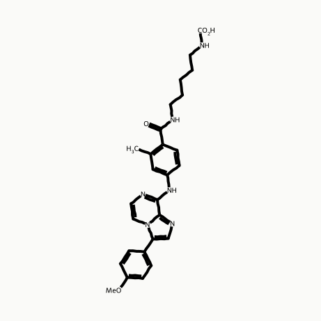 COc1ccc(-c2cnc3c(Nc4ccc(C(=O)NCCCCCNC(=O)O)c(C)c4)nccn23)cc1